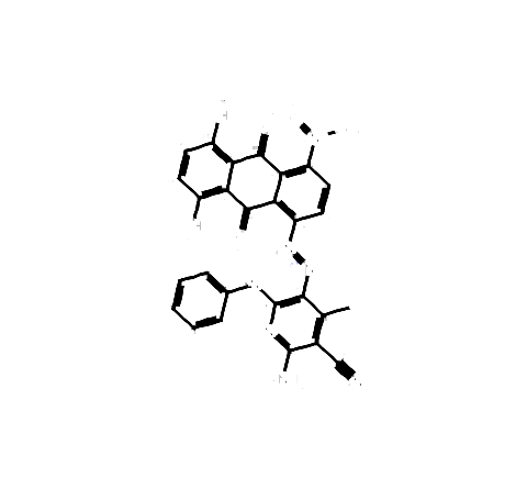 Cc1c(C#N)c(N)nc(Nc2ccccc2)c1/N=N/c1ccc([N+](=O)[O-])c2c1C(=O)c1c(O)ccc(O)c1C2=O